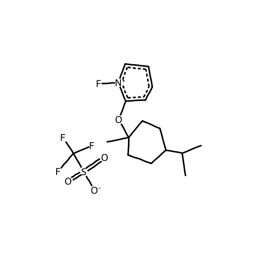 CC(C)C1CCC(C)(Oc2cccc[n+]2F)CC1.O=S(=O)([O-])C(F)(F)F